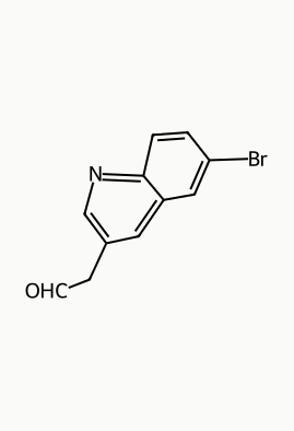 O=CCc1cnc2ccc(Br)cc2c1